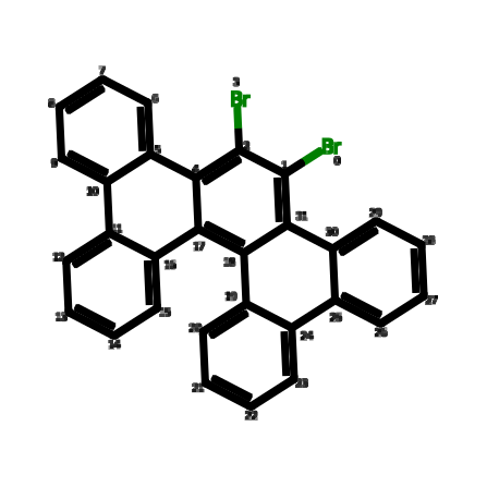 Brc1c(Br)c2c3ccccc3c3ccccc3c2c2c3ccccc3c3ccccc3c12